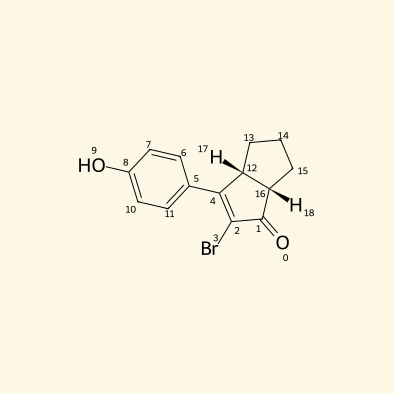 O=C1C(Br)=C(c2ccc(O)cc2)[C@@H]2CCC[C@H]12